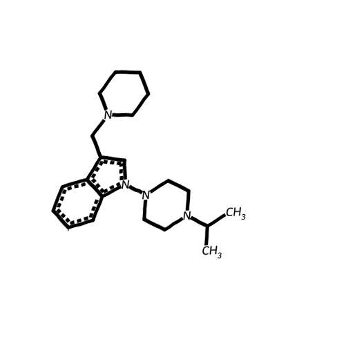 CC(C)N1CCN(n2cc(CN3CCCCC3)c3cc[c]cc32)CC1